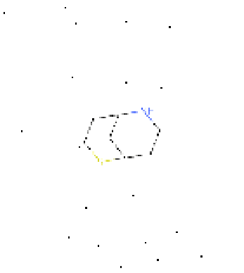 C1CC2CC(CCS2)N1